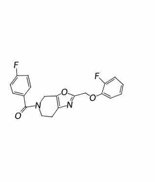 O=C(c1ccc(F)cc1)N1CCc2nc(COc3ccccc3F)oc2C1